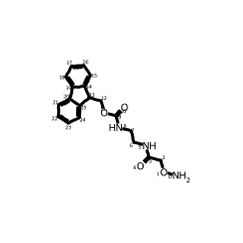 NOCC(=O)NCCNC(=O)OCC1c2ccccc2-c2ccccc21